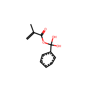 C=C(C)C(=O)OC(O)(O)c1ccccc1